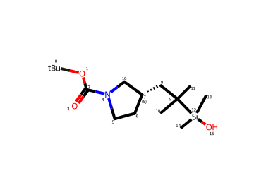 CC(C)(C)OC(=O)N1CC[C@@H](CC(C)(C)[Si](C)(C)O)C1